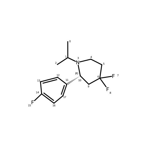 CC(C)N1CCC(F)(F)C[C@@H]1c1ccc(F)cc1